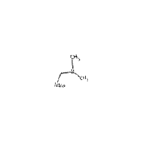 CNCB(C)C